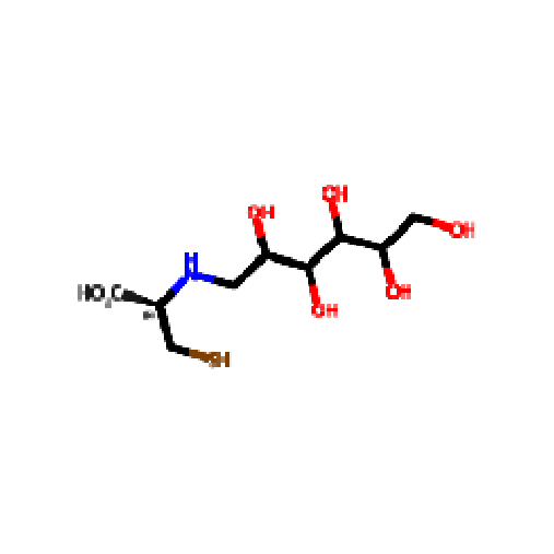 O=C(O)[C@H](CS)NCC(O)C(O)C(O)C(O)CO